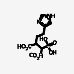 O=C(O)C(CCc1c[nH]cn1)C(C(=O)O)P(=O)(O)O